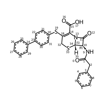 O=C(Cc1ccccc1)N[C@@H]1C(=O)N2C(C(=O)O)=C(Sc3ccc(-c4ccccc4)cc3)CS[C@@H]12